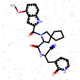 COc1cccc2[nH]c(C(=O)N3CC4(CCCC4)CC3C(=O)NC(C#N)Cc3ccc[nH]c3=O)cc12